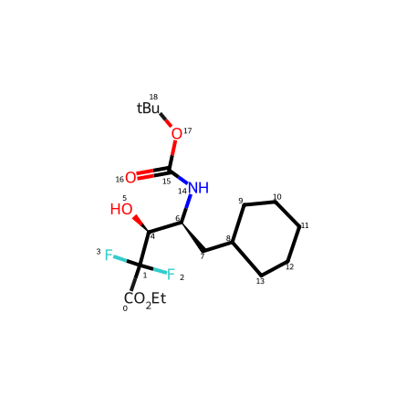 CCOC(=O)C(F)(F)[C@@H](O)[C@H](CC1CCCCC1)NC(=O)OC(C)(C)C